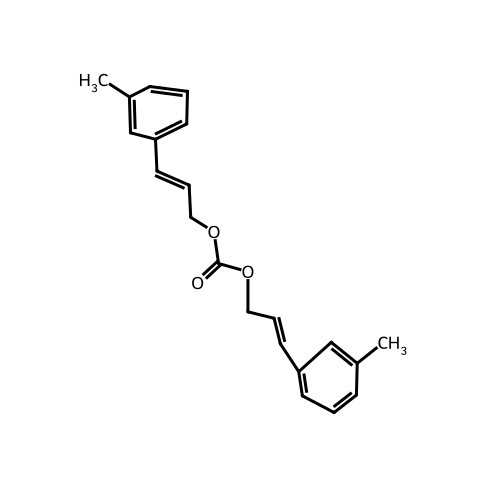 Cc1cccc(C=CCOC(=O)OCC=Cc2cccc(C)c2)c1